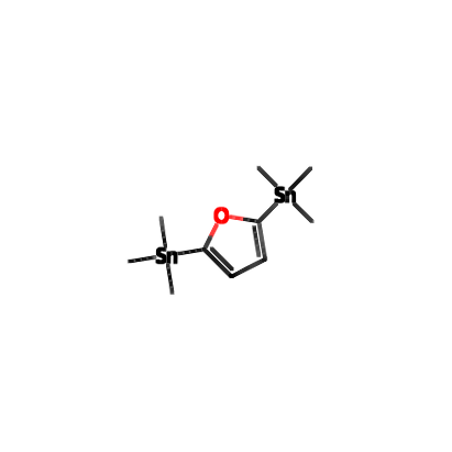 [CH3][Sn]([CH3])([CH3])[c]1cc[c]([Sn]([CH3])([CH3])[CH3])o1